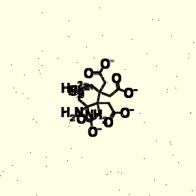 NC1(N)CCCC(CC(=O)[O-])(CC(=O)[O-])C1(CC(=O)[O-])CC(=O)[O-].[Hg+2].[Hg+2]